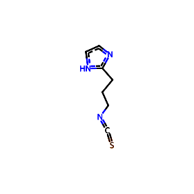 S=C=NCCCc1ncc[nH]1